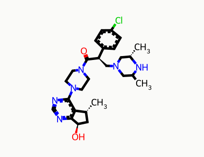 CC1CN(C[C@@H](C(=O)N2CCN(c3ncnc4c3[C@H](C)C[C@H]4O)CC2)c2ccc(Cl)cc2)C[C@H](C)N1